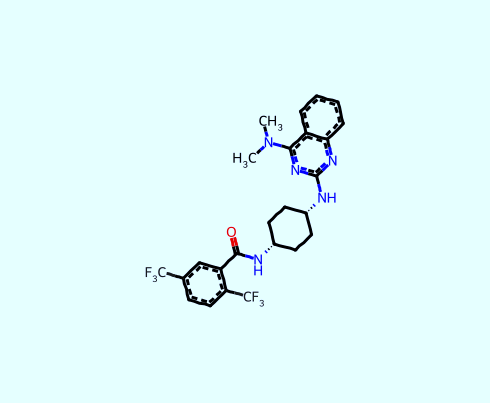 CN(C)c1nc(N[C@H]2CC[C@@H](NC(=O)c3cc(C(F)(F)F)ccc3C(F)(F)F)CC2)nc2ccccc12